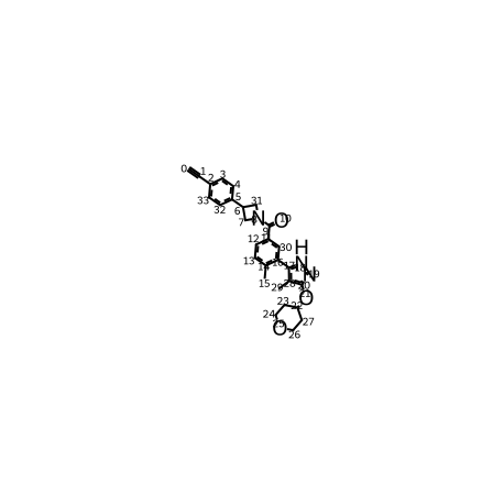 C#Cc1ccc(C2CN(C(=O)c3ccc(C)c(-c4[nH]nc(OC5CCOCC5)c4C)c3)C2)cc1